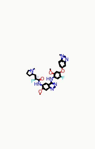 COc1cc2ncnc(Nc3cc(F)c(Oc4ccc5c(c4)ncn5C)cc3OC)c2cc1NC(=O)/C(F)=C/C1CCCN1C